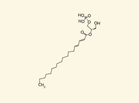 CCCCCCCCCCCCCC=CC=CC(=O)O[C@H](CO)COP(=O)(O)O